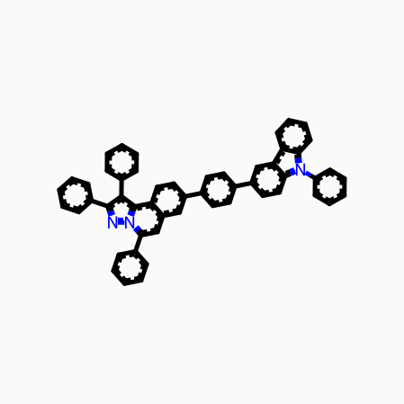 c1ccc(-c2nn3c(-c4ccccc4)cc4cc(-c5ccc(-c6ccc7c(c6)c6ccccc6n7-c6ccccc6)cc5)ccc4c3c2-c2ccccc2)cc1